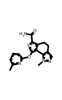 Cc1cccc(Oc2sc(C(N)=O)c3c2-c2c(cnn2C)CC3)n1